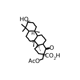 CC(=O)OC[C@@]1(C(=O)O)CC[C@]2(C)C(CCC3[C@@]4(C)CC[C@H](O)C(C)(C)C4CC[C@]32C)C1=O